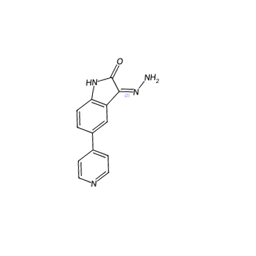 N/N=C1\C(=O)Nc2ccc(-c3ccncc3)cc21